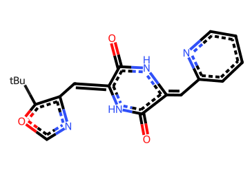 CC(C)(C)c1ocnc1/C=c1\[nH]c(=O)/c(=C/c2ccccn2)[nH]c1=O